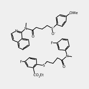 CCOC(=O)c1cc(F)ccc1SCCCC(=O)N(C)c1cccc(F)c1.COc1ccc([S+]([O-])CCCC(=O)N(C)c2nccc3ccccc23)cc1